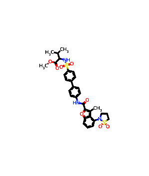 COC(=O)C(NS(=O)(=O)c1ccc(-c2ccc(NC(=O)c3oc4cccc(N5CCCS5(=O)=O)c4c3C)cc2)cc1)C(C)C